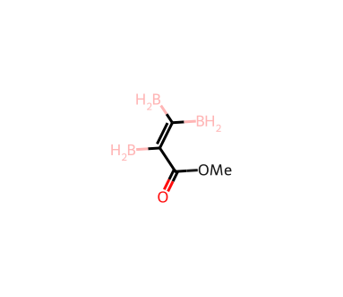 BC(B)=C(B)C(=O)OC